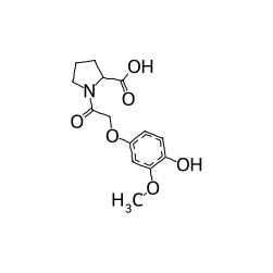 COc1cc(OCC(=O)N2CCCC2C(=O)O)ccc1O